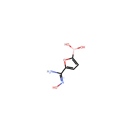 N/C(=N\O)c1ccc(B(O)O)o1